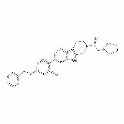 O=C(CN1CCCC1)N1CCc2c([nH]c3cc(-n4ccc(OCc5ccccc5)cc4=O)ccc23)C1